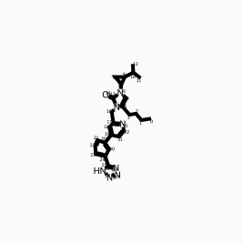 CCCCc1cn(C2CC2C(C)C)c(=O)n1Cc1cc(-c2cccc(-c3nnn[nH]3)c2)ccn1